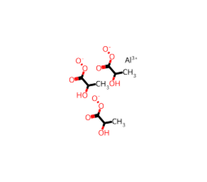 CC(O)C(=O)O[O-].CC(O)C(=O)O[O-].CC(O)C(=O)O[O-].[Al+3]